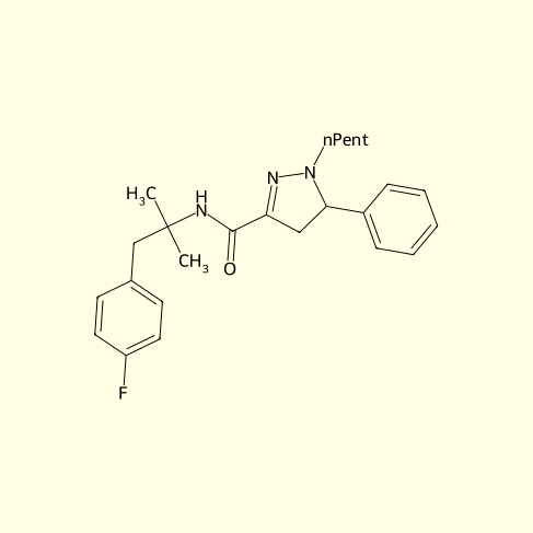 CCCCCN1N=C(C(=O)NC(C)(C)Cc2ccc(F)cc2)CC1c1ccccc1